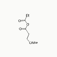 CCC(=O)OC(=O)CCOC